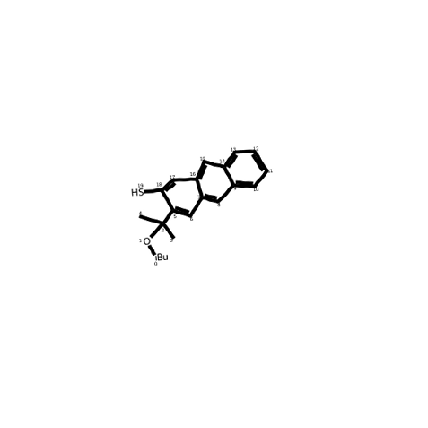 CCC(C)OC(C)(C)c1cc2cc3ccccc3cc2cc1S